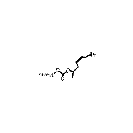 CCCCCCCOC(=O)OC(C)C/C=C\CC(C)C